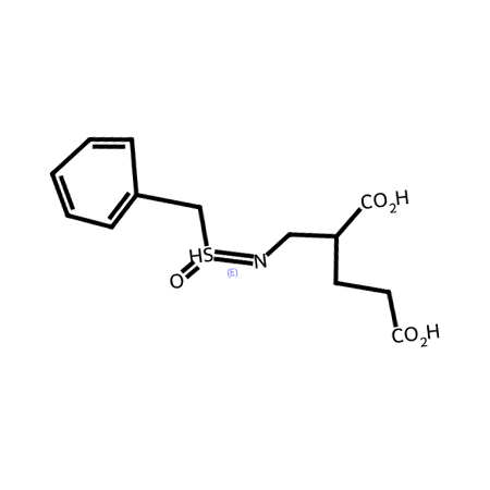 O=C(O)CCC(C/N=[SH](=O)\Cc1ccccc1)C(=O)O